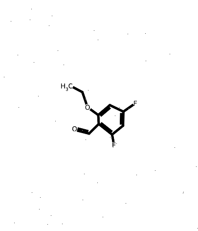 CCOc1cc(F)cc(F)c1C=O